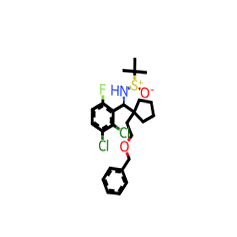 CC(C)(C)[S@@+]([O-])N[C@H](c1c(F)ccc(Cl)c1Cl)C1(CCOCc2ccccc2)CCCC1